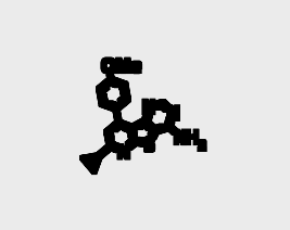 COc1ccc(-c2cc(C3CC3)nc3sc4c(N)ncnc4c23)cc1